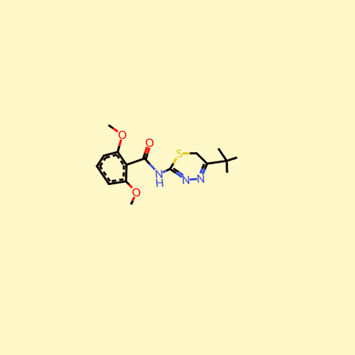 COc1cccc(OC)c1C(=O)NC1=NN=C(C(C)(C)C)CS1